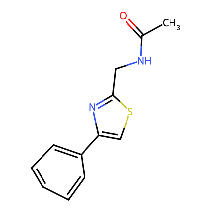 CC(=O)NCc1nc(-c2ccccc2)cs1